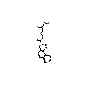 COC(=O)COCC(=O)N(O)Cc1ccc2ccccc2c1O